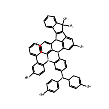 Cc1cc2c3c(c1)-n1c4c(c5cc(C(C)(C)C)cc(c51)B3c1ccc(N(c3ccc(C(C)(C)C)cc3)C3C=CC(C(C)(C)C)=CC3)cc1N2c1ccc(C(C)(C)C)cc1-c1ccccc1)C(C)(C)c1ccccc1-4